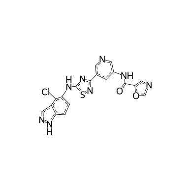 O=C(Nc1cncc(-c2nsc(Nc3ccc4[nH]ncc4c3Cl)n2)c1)c1cnco1